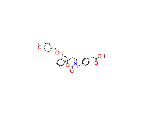 COc1ccc(COCCCC2(c3ccccc3)CCN([C@@H](C)c3ccc(CC(=O)O)cc3)C(=O)O2)cc1